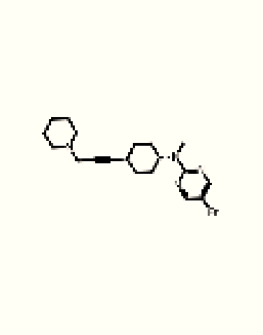 CCc1cnc(N(C)[C@H]2CC[C@H](C#CCN3CCCCC3)CC2)nc1